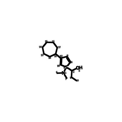 CCC(O)S1(N(C)C)C=CC(C2CCCCCC2)=C1